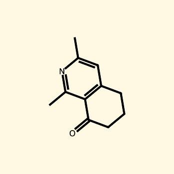 Cc1cc2c(c(C)n1)C(=O)CCC2